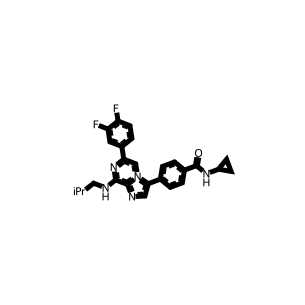 CC(C)CNc1nc(-c2ccc(F)c(F)c2)cn2c(-c3ccc(C(=O)NC4CC4)cc3)cnc12